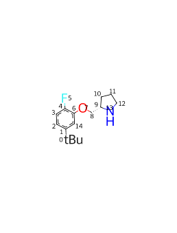 CC(C)(C)c1ccc(F)c(OC[C@@H]2CCCN2)c1